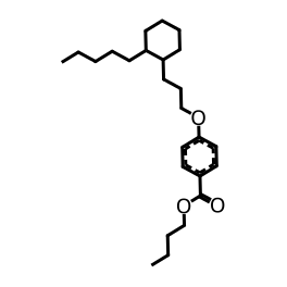 CCCCCC1CCCCC1CCCOc1ccc(C(=O)OCCCC)cc1